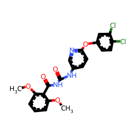 COc1cccc(OC)c1C(=O)NC(=O)Nc1ccc(Oc2ccc(Cl)c(Cl)c2)nc1